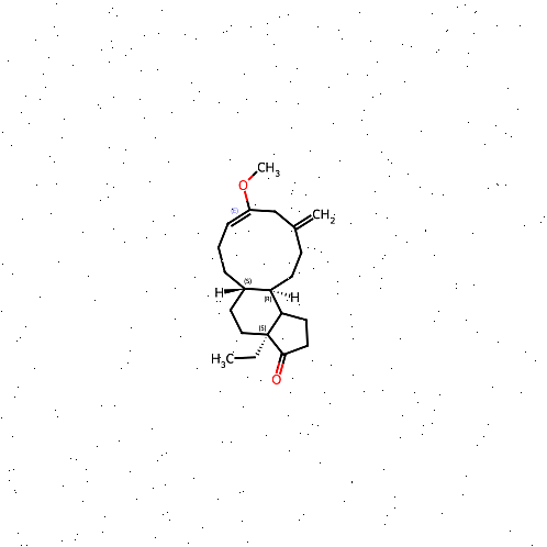 C=C1CC[C@H]2C3CCC(=O)[C@@]3(CC)CC[C@@H]2CC/C=C(/OC)C1